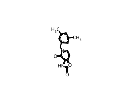 Cc1cc(C)cc(Cn2ccc3oc(=O)[nH]c3c2=O)c1